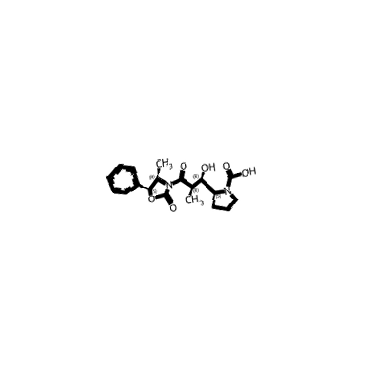 C[C@@H]1[C@H](c2ccccc2)OC(=O)N1C(=O)[C@H](C)[C@@H](O)[C@@H]1CCCN1C(=O)O